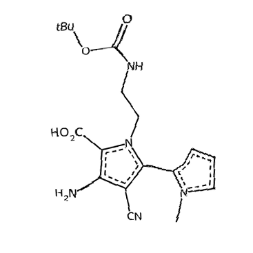 Cn1cccc1-c1c(C#N)c(N)c(C(=O)O)n1CCNC(=O)OC(C)(C)C